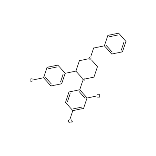 N#Cc1ccc(N2CCN(Cc3ccccc3)CC2c2ccc(Cl)cc2)c(Cl)c1